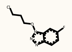 Fc1ccc2nnn(OCCCCl)c2c1